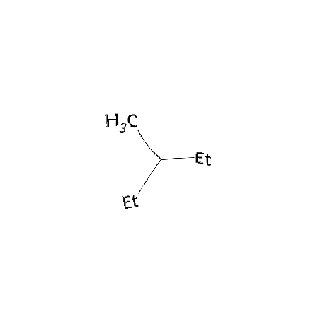 [CH]CC(C)C[CH2]